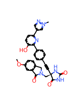 COc1ccc2c(c1)C(=O)N(C[C@@]1(C#Cc3ccc(-c4nc(-c5cnn(C)c5)ccc4O)cc3)NC(=O)NC1=O)C2